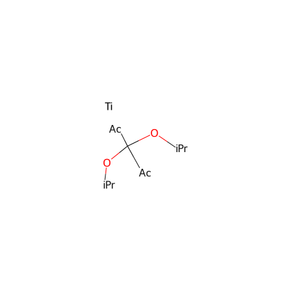 CC(=O)C(OC(C)C)(OC(C)C)C(C)=O.[Ti]